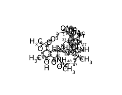 CO[C@H]1/C=C/O[C@@]2(C)Oc3c(C)c(O)c4c(c3C2=O)C2=NC35CC6CO[C@@]7(NCC(C(C(C)C)[C@@H](C(C3)N6)[C@H](OC(C)=O)C1(C)C)[C@H](O)[C@@H]7C)[C@@H](C)/C=C/C=C(\C)C(=O)NC(=C2N5)C4=O